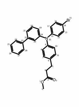 COC(=O)CCc1ccc(N(c2ccc(Br)cc2)c2cccc(-c3ccccc3)c2)cc1